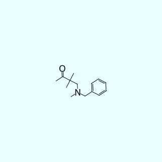 CC(=O)C(C)(C)CN(C)Cc1ccccc1